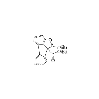 CC(C)COC(=O)C1(C(=O)OCC(C)C)c2ccccc2-c2ccccc21